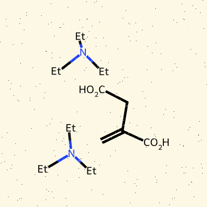 C=C(CC(=O)O)C(=O)O.CCN(CC)CC.CCN(CC)CC